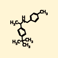 Cc1ccc(CNC(C)c2ccc(C(C)(C)C)cc2)cc1